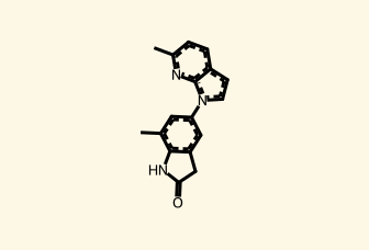 Cc1ccc2ccn(-c3cc(C)c4c(c3)CC(=O)N4)c2n1